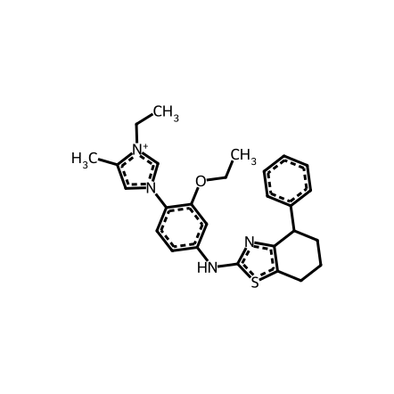 CCOc1cc(Nc2nc3c(s2)CCCC3c2ccccc2)ccc1-n1cc(C)[n+](CC)c1